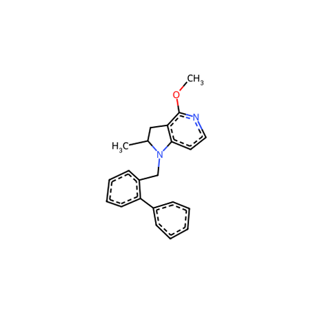 COc1nccc2c1CC(C)N2Cc1ccccc1-c1ccccc1